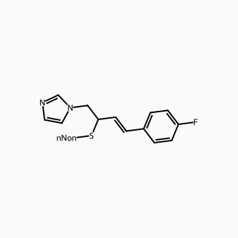 CCCCCCCCCSC(C=Cc1ccc(F)cc1)Cn1ccnc1